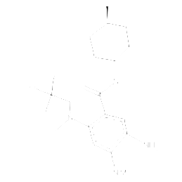 CNc1cc(N(C)CC(C)(C)O)c(C(=O)N[C@H]2CC[C@H](C)CC2)cc1N